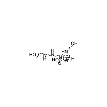 CC(C(=O)O)(C(=O)NCCCO)N(CCNCCNCC(=O)O)P(=O)(O)O